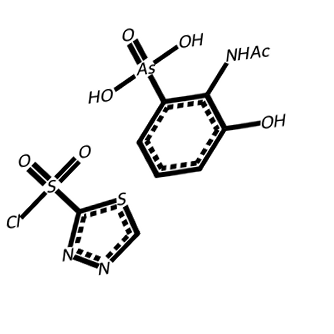 CC(=O)Nc1c(O)cccc1[As](=O)(O)O.O=S(=O)(Cl)c1nncs1